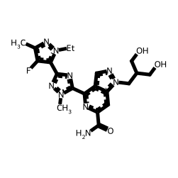 CCn1nc(C)c(F)c1-c1nc(-c2nc(C(N)=O)cc3c2cnn3CC(CO)CO)n(C)n1